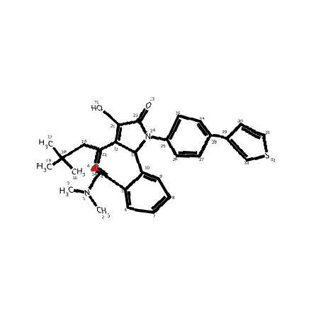 CN(C)C(=O)c1ccccc1C1C(C(=O)CC(C)(C)C)=C(O)C(=O)N1c1ccc(-c2ccsc2)cc1